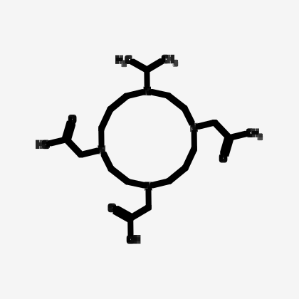 CC(=O)CN1CCCN(CC(=O)O)CCN(CC(=O)O)CCCN(C(C)C)CC1